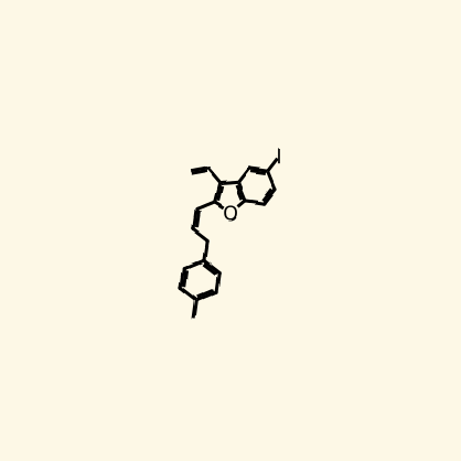 C=Cc1c(/C=C\Cc2ccc(C)cc2)oc2ccc(I)cc12